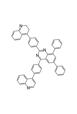 c1ccc(-c2cc(-c3ccccc3)c3nc(-c4ccc(C5=c6ccccc6=NCC5)cc4)nc(-c4ccc(-c5ccnc6ccccc56)cc4)c3c2)cc1